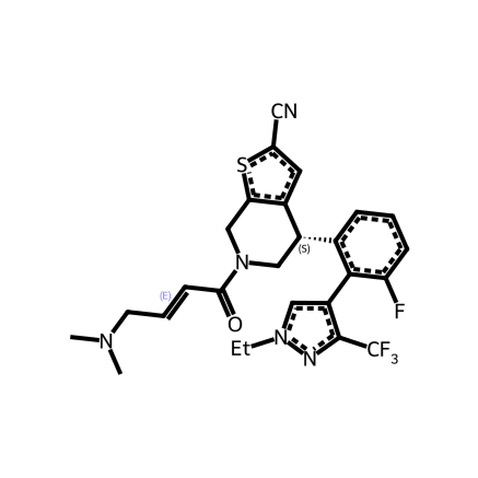 CCn1cc(-c2c(F)cccc2[C@@H]2CN(C(=O)/C=C/CN(C)C)Cc3sc(C#N)cc32)c(C(F)(F)F)n1